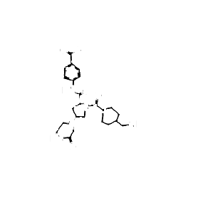 NCC1CCC(C(=O)N2C[C@@H](N3CCNC(=O)C3)C[C@H]2C(=O)Nc2ccc(C(=O)O)cc2)CC1